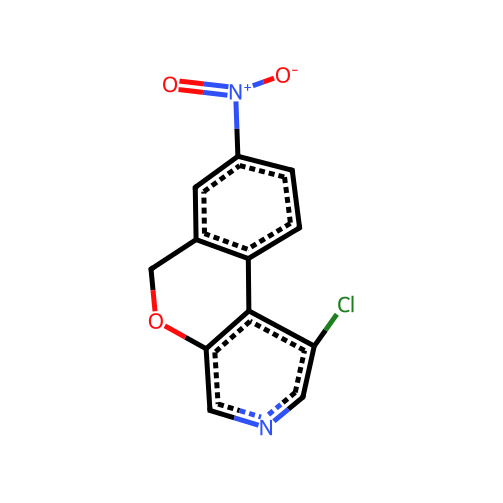 O=[N+]([O-])c1ccc2c(c1)COc1cncc(Cl)c1-2